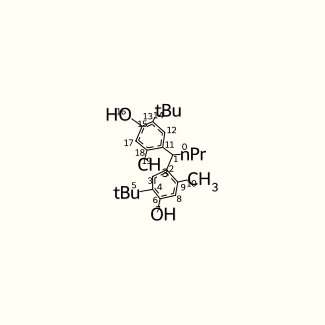 [CH2]CCC(c1cc(C(C)(C)C)c(O)cc1C)c1cc(C(C)(C)C)c(O)cc1C